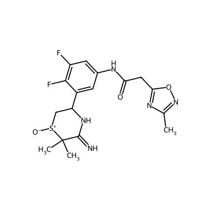 Cc1noc(CC(=O)Nc2cc(F)c(F)c(C3C[S+]([O-])C(C)(C)C(=N)N3)c2)n1